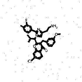 COc1cccc(Cc2c(C(C(C)C)n3cc(CCN)nc3-c3ccc(C)c(F)c3)oc3cc(Cl)ccc3c2=O)c1